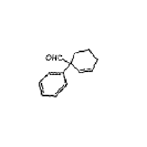 O=CC1(c2ccccc2)C=CCCC1